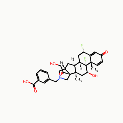 C[C@]12C=CC(=O)C=C1[C@@H](F)C[C@H]1[C@@H]3C[C@H]4CN(Cc5cccc(C(=O)O)c5)C[C@@]4(C(=O)CO)[C@@]3(C)C[C@H](O)[C@@]12F